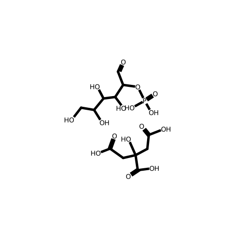 O=C(O)CC(O)(CC(=O)O)C(=O)O.O=CC(OP(=O)(O)O)C(O)C(O)C(O)CO